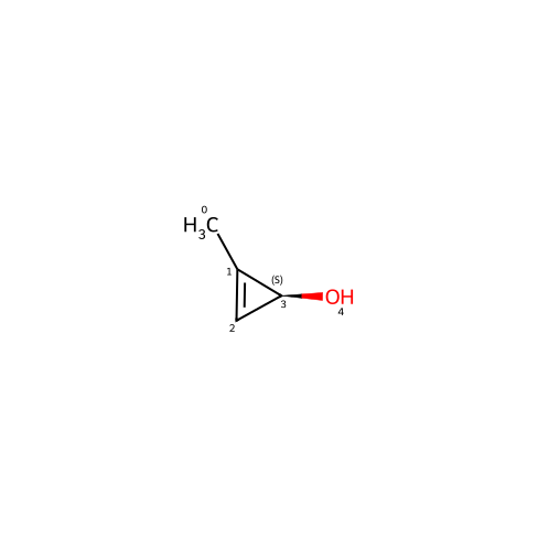 CC1=C[C@@H]1O